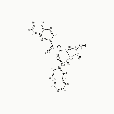 O=C(OC[C@H]1SC(O)[C@H](F)[C@@H]1OC(=O)c1ccc2ccccc2c1)c1ccc2ccccc2c1